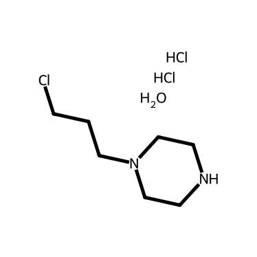 Cl.Cl.ClCCCN1CCNCC1.O